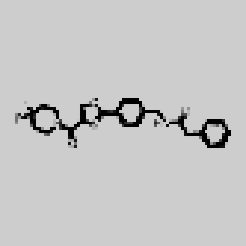 O=C(Cc1ccccc1)NCc1ccc(-c2nc(C(=O)N3CCC(F)(F)CC3)co2)cc1